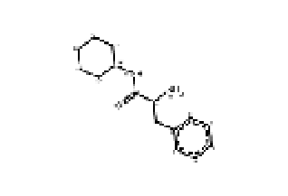 NC(Cc1ccccc1)C(=O)NC1CCCCC1